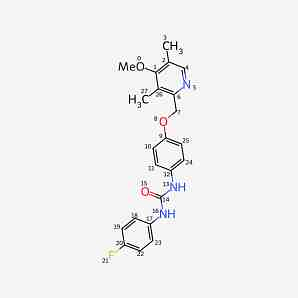 COc1c(C)cnc(COc2ccc(NC(=O)Nc3ccc(F)cc3)cc2)c1C